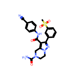 CS(=O)(=O)c1cccc(-c2nn3c(c2C(=O)Nc2ccc(C#N)cc2)CN(C(N)=O)CC3)c1